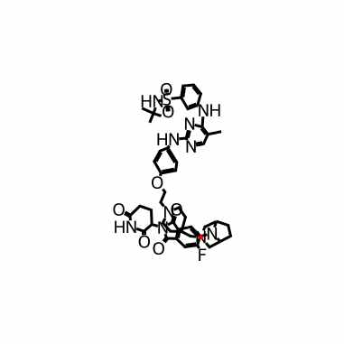 Cc1cnc(Nc2ccc(OCCN3CCC(CN4CC5CCC(C4)N5c4cc5c(cc4F)C(=O)N(C4CCC(=O)NC4=O)C5=O)CC3)cc2)nc1Nc1cccc(S(=O)(=O)NC(C)(C)C)c1